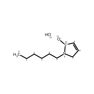 CCCCCCN1CC=C[S+]1[O-].Cl